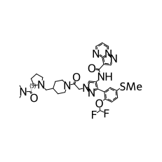 CSc1ccc(OC(F)F)c(-c2nn(CC(=O)N3CCC(CN4CCC[C@H]4C(=O)N(C)C)CC3)cc2NC(=O)c2cnn3cccnc23)c1